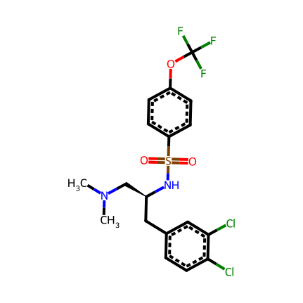 CN(C)C[C@H](Cc1ccc(Cl)c(Cl)c1)NS(=O)(=O)c1ccc(OC(F)(F)F)cc1